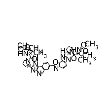 COC(=O)N[C@H](C(=O)N1CCC[C@H]1c1nc2ncc3cc(-c4nc5ccc6nc([C@@H]7CCCN7C(=O)[C@@H](NC(=O)OC)C(C)C)[nH]c6c5o4)ccc3c2[nH]1)C(C)C